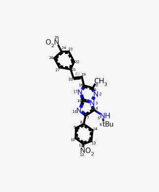 Cc1nn2c(NC(C)(C)C)c(-c3ccc([N+](=O)[O-])cc3)nc2nc1/C=C/c1ccc([N+](=O)[O-])cc1